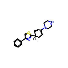 CC1(c2nc(-c3ccccc3)cs2)C=CC(N2CCNCC2)=CC1